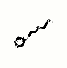 C=CCNC=C.c1cnoc1